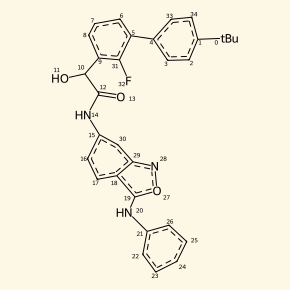 CC(C)(C)c1ccc(-c2cccc(C(O)C(=O)Nc3ccc4c(Nc5ccccc5)onc4c3)c2F)cc1